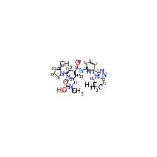 CCc1nnc(-c2cccc(N3Cc4c(cc(N5CCC[C@H]5C)nc4CN(C)C(=O)O)C3=O)n2)n1CC